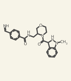 CN1NC(C(=O)N2CCOCC2CNC(=O)c2ccc(C=N)cc2)c2ccccc21